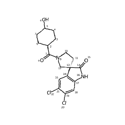 O=C(C1CCC(O)CC1)N1CC[C@]2(C1)C(=O)Nc1cc(Cl)c(Cl)cc12